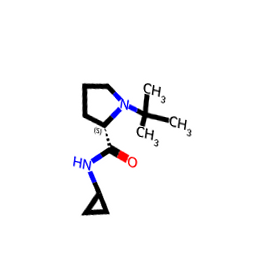 CC(C)(C)N1CCC[C@H]1C(=O)NC1CC1